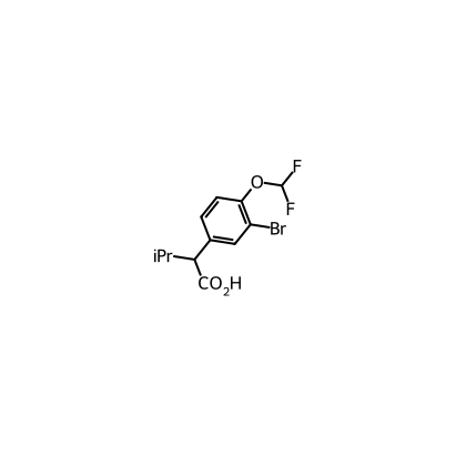 CC(C)C(C(=O)O)c1ccc(OC(F)F)c(Br)c1